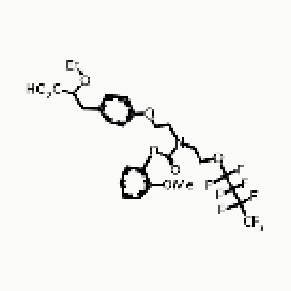 CCOC(Cc1ccc(OCCN(CCOC(F)(F)C(F)(F)C(F)(F)C(F)(F)F)C(=O)Oc2ccccc2OC)cc1)C(=O)O